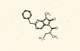 CCN(C)C(=O)n1c(=O)n(C)c2nc(Cc3ccccc3)ncc21